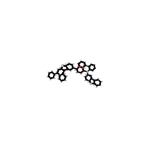 c1ccc(-c2ccccc2N(c2ccc(-c3ccc4oc5cc(-c6ccccc6)c6ccccc6c5c4c3)cc2)c2ccc3oc4ccccc4c3c2)cc1